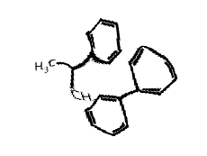 CC(C)c1ccccc1.c1ccc(-c2ccccc2)cc1